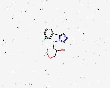 O[C@H]1COCC[C@@H]1[C@@H]1c2c(F)cccc2-c2cncn21